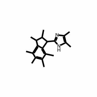 Cc1nc(C2c3c(C)c(C)c(C)c(C)c3C(C)C2C)[nH]c1C